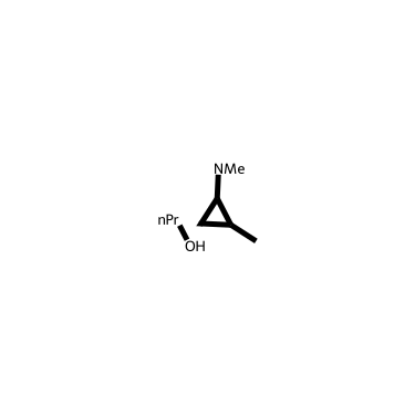 CCCO.CNC1CC1C